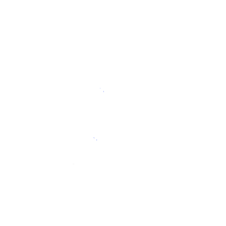 CC(C)C(CO)NCc1nc(C2=CCCC2)ccc1F